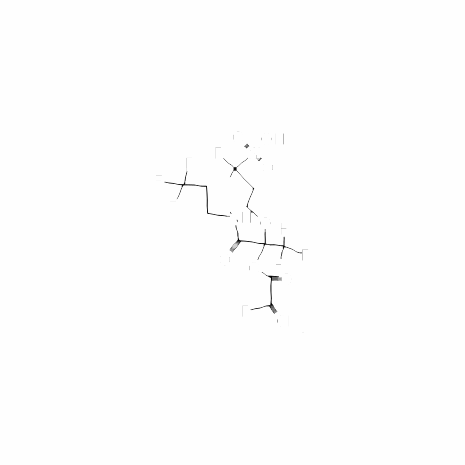 C=C(F)C(=O)OC(OCCC(F)(F)S(=O)(=O)O)(C(=O)NCCC(F)(F)F)C(F)(F)F